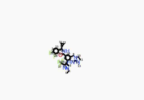 CCn1cc(-c2cc(CN3CCN(C)C3=N)cc(C(=O)N[C@H](c3ccc(F)c(F)c3)C3CC3)c2)c(C(F)(F)F)n1